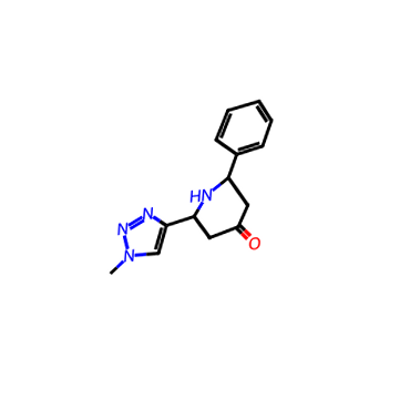 Cn1cc(C2CC(=O)CC(c3ccccc3)N2)nn1